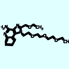 CCOCCOCCOCCn1c(COCC)nc2c(N)nc3ccccc3c21